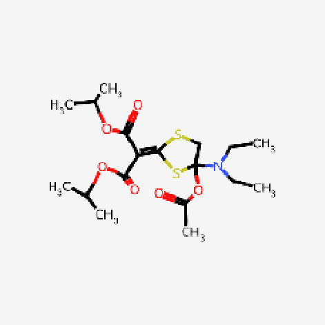 CCN(CC)C1(OC(C)=O)CSC(=C(C(=O)OC(C)C)C(=O)OC(C)C)S1